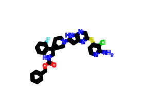 Nc1nccc(Sc2cnc3[nH]c(N4CCC5C(C4)C5(CNC(=O)OCc4ccccc4)c4ccccc4F)cc3n2)c1Cl